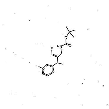 CC(C(=CF)CNC(=O)OC(C)(C)C)c1cccc(F)c1